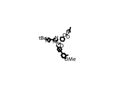 COc1ccc(C23CCC(CN(c4cncc(-c5cnn(C(C)(C)C)c5)n4)C(=O)[C@H]4CC[C@H](OC(=O)N5CC(C)C5)CC4)(CC2)CC3)cc1C